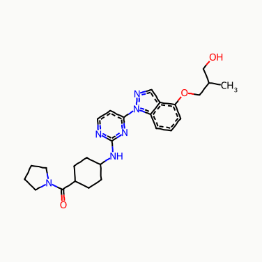 CC(CO)COc1cccc2c1cnn2-c1ccnc(NC2CCC(C(=O)N3CCCC3)CC2)n1